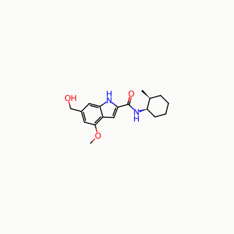 COc1cc(CO)cc2[nH]c(C(=O)N[C@@H]3CCCC[C@@H]3C)cc12